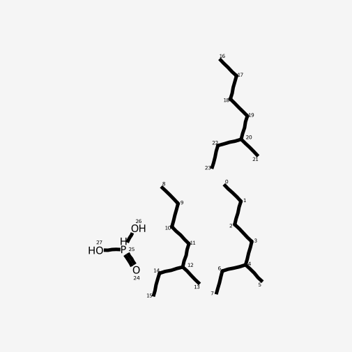 CCCCC(C)CC.CCCCC(C)CC.CCCCC(C)CC.O=[PH](O)O